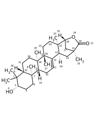 CC1(C)[C@@H](O)CC[C@]2(C)[C@H]3CC=C4[C@@H]5C[C@@]6(C)C[C@@H](OC6=O)[C@]5(C)CC[C@@]4(C)[C@]3(C)CC[C@@H]12